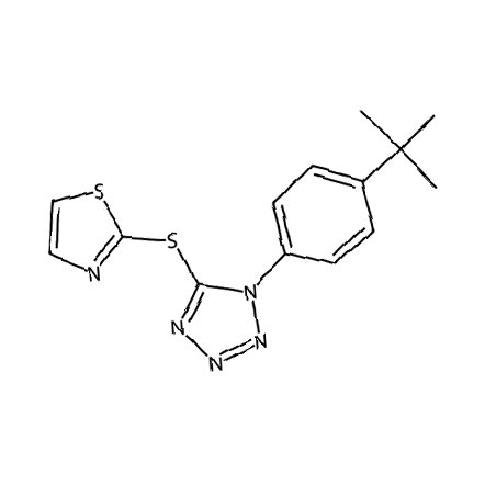 CC(C)(C)c1ccc(-n2nnnc2Sc2nccs2)cc1